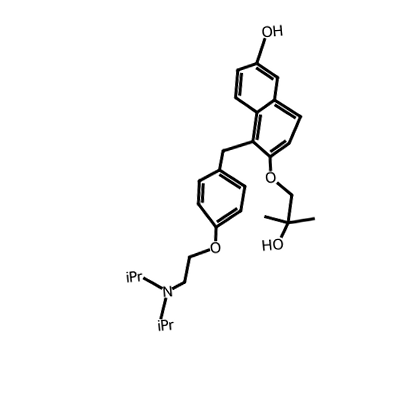 CC(C)N(CCOc1ccc(Cc2c(OCC(C)(C)O)ccc3cc(O)ccc23)cc1)C(C)C